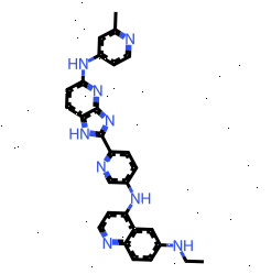 CCNc1ccc2nccc(Nc3ccc(-c4nc5nc(Nc6ccnc(C)c6)ccc5[nH]4)nc3)c2c1